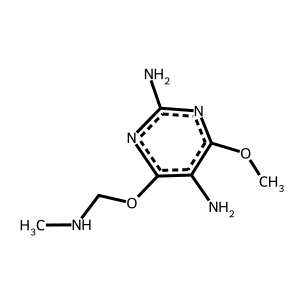 CNCOc1nc(N)nc(OC)c1N